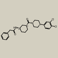 O=C(Cc1ccccc1)N[C@@H]1CCC[C@H](C(=O)N2CCN(c3ccc(Cl)c(Cl)c3)CC2)C1